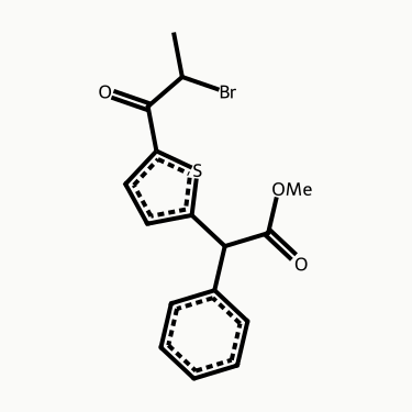 COC(=O)C(c1ccccc1)c1ccc(C(=O)C(C)Br)s1